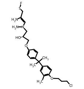 Cc1cc(C(C)(C)c2ccc(OC[C@H](O)CN(N)/C=C(\N)CSF)cc2)ccc1OCCCCl